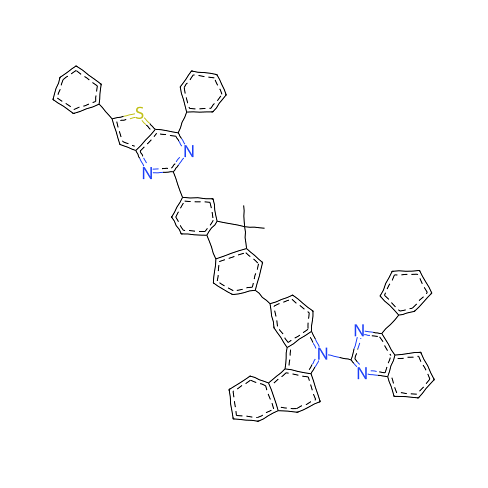 CC1(C)c2cc(-c3ccc4c(c3)c3c5ccccc5ccc3n4-c3nc(-c4ccccc4)c4ccccc4n3)ccc2-c2ccc(-c3nc(-c4ccccc4)c4sc(-c5ccccc5)cc4n3)cc21